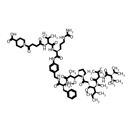 CC[C@H](C)[C@@H]([C@@H](CC(=O)N1CCC[C@H]1[C@H](OC)[C@@H](C)C(=O)N[C@@H](Cc1ccccc1)C(=O)NCc1ccc(NC(=O)[C@H](CCCNC(N)=O)NC(=O)[C@@H](NC(=O)CCC(=O)N2CCC(C(=O)O)CC2)C(C)C)cc1)OC)N(C)C(=O)[C@@H](NC(=O)[C@H](C(C)C)N(C)C)C(C)C